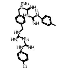 CCCCN(Cc1ccc(CNC(=N)NC(=N)Nc2ccc(Cl)cc2)cc1)C(=N)NC(=N)Nc1ccc(C)cc1